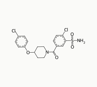 NS(=O)(=O)c1cc(C(=O)N2CCC(Oc3ccc(Cl)cc3)CC2)ccc1Cl